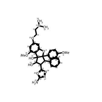 COc1ccc(C23Oc4cc(OCCN(C)C)cc(OC)c4C2(O)C(O)C(c2nnc(N)o2)C3c2ccccc2)cc1